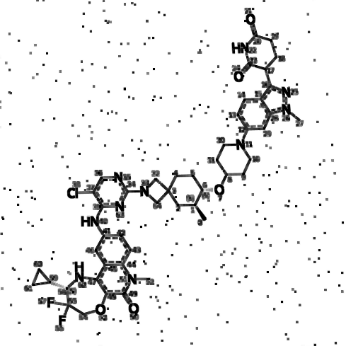 C[C@H]1CC2(CC[C@@H]1OC1CCN(c3ccc4c(C5CCC(=O)NC5=O)nn(C)c4c3)CC1)CN(c1ncc(Cl)c(Nc3ccc4c(c3)c3c(c(=O)n4C)OCC(F)(F)[C@H](C4CC4)N3)n1)C2